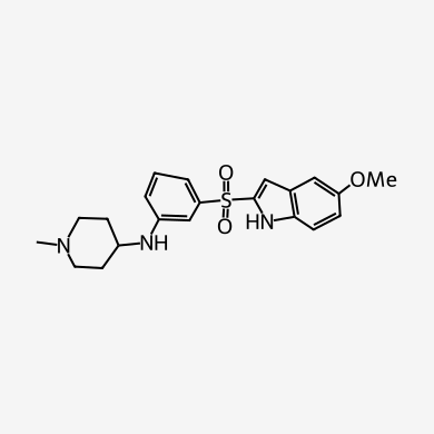 COc1ccc2[nH]c(S(=O)(=O)c3cccc(NC4CCN(C)CC4)c3)cc2c1